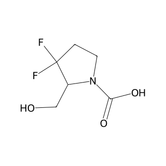 O=C(O)N1CCC(F)(F)C1CO